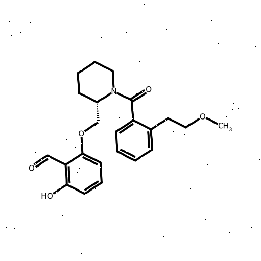 COCCc1ccccc1C(=O)N1CCCC[C@H]1COc1cccc(O)c1C=O